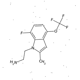 Cc1cc2c(OC(F)(F)F)ccc(F)c2n1CCN